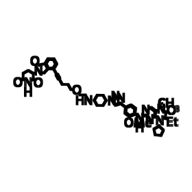 CC[C@@H]1C(=O)N(C)c2cnc(Nc3ccc(-c4cn([C@H]5CC[C@@H](NCCOCCCC#Cc6cccc7c6CN(C6CCC(=O)NC6=O)C7=O)CC5)nn4)cc3OC)nc2N1C1CCCC1